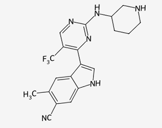 Cc1cc2c(-c3nc(NC4CCCNC4)ncc3C(F)(F)F)c[nH]c2cc1C#N